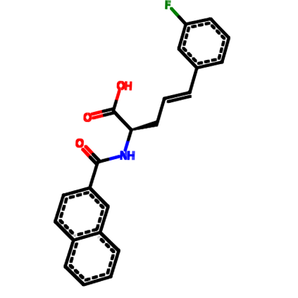 O=C(N[C@H](C/C=C/c1cccc(F)c1)C(=O)O)c1ccc2ccccc2c1